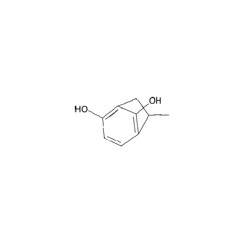 CC1Cc2c(O)ccc1c2O